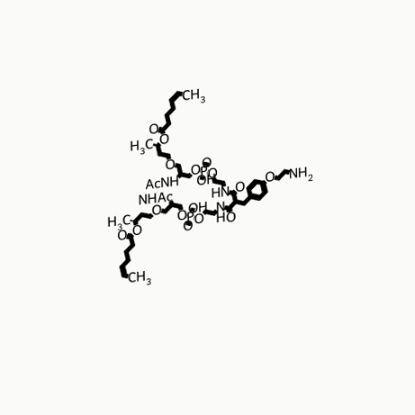 C/C=C\CCCC(=O)O[C@H](C)CCOCC(COP(=O)(O)OCCNC(=O)C(Cc1ccc(OCCN)cc1)C(=O)NCCOP(=O)(O)OCC(COCC[C@@H](C)OC(=O)CCC/C=C\C)NC(C)=O)NC(C)=O